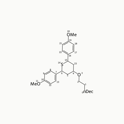 CCCCCCCCCCCCOC1CC(c2ccc(OC)cc2)SC(c2ccc(OC)cc2)C1